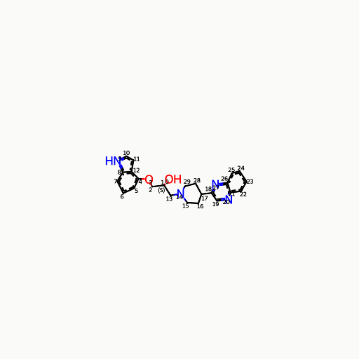 O[C@H](COc1cccc2[nH]ccc12)CN1CCC(c2cnc3ccccc3n2)CC1